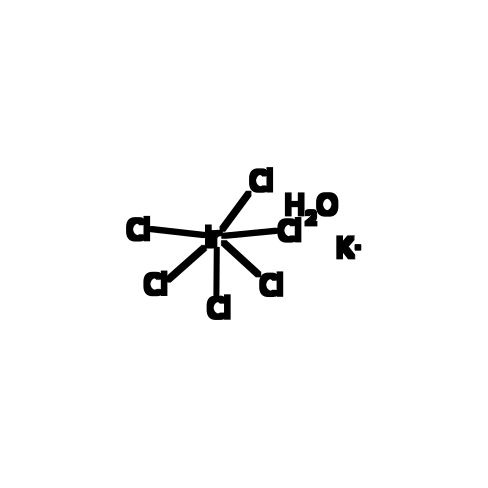 O.[Cl][Ir]([Cl])([Cl])([Cl])([Cl])[Cl].[K]